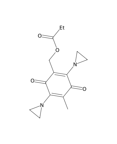 CCC(=O)OCC1=C(N2CC2)C(=O)C(C)=C(N2CC2)C1=O